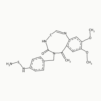 C=C1c2cc(OC)c(OC)cc2/N=C\CNC(=O)N1Cc1ccc(NSN)cc1